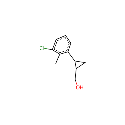 Cc1c(Cl)cccc1C1CC1CO